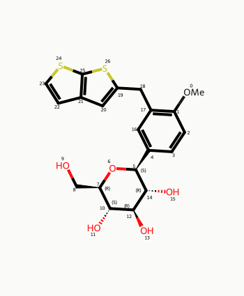 COc1ccc([C@@H]2O[C@H](CO)[C@@H](O)[C@H](O)[C@H]2O)cc1Cc1cc2ccsc2s1